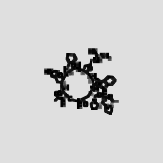 CC(=O)N[C@H]1CCNC(=O)C[C@@H](C(=O)N2CCC[C@H]2C(=O)N2CCC[C@H]2C(C)=O)NC(=O)[C@H](Cc2c[nH]c3ccccc23)NC(=O)[C@H](CCCNC(=N)N)NC(=O)[C@@H](Cc2ccccc2)NC(=O)[C@H](Cc2c[nH]cn2)NC1=O